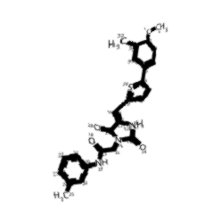 COC1=CC=C(c2ccc(/C=C3\NC(=O)N(CC(=O)Nc4cccc(C)c4)C3=O)s2)CC1C